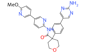 COc1ccc(-c2ccc(NC(=O)C3(c4ccc(-c5cnc(N)nc5)cc4)CCOCC3)nc2)cn1